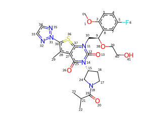 COc1ccc(F)cc1[C@H](Cn1c(=O)n([C@@H]2CCN(C(=O)C(C)C)C2)c(=O)c2c(C)c(-n3nccn3)sc21)OCCO